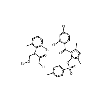 CCOCN(C(=O)CCl)c1c(C)cccc1CC.Cc1ccc(S(=O)(=O)Oc2c(C(=O)c3ccc(Cl)cc3Cl)c(C)nn2C)cc1